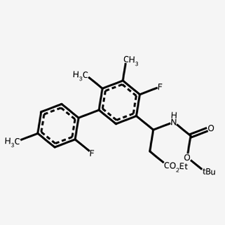 CCOC(=O)CC(NC(=O)OC(C)(C)C)c1cc(-c2ccc(C)cc2F)c(C)c(C)c1F